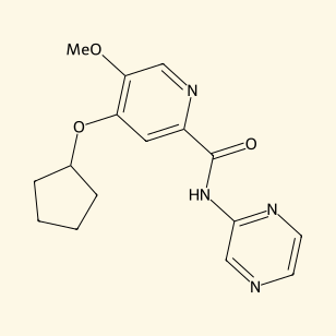 COc1cnc(C(=O)Nc2cnccn2)cc1OC1CCCC1